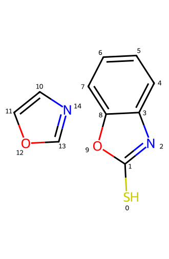 Sc1nc2ccccc2o1.c1cocn1